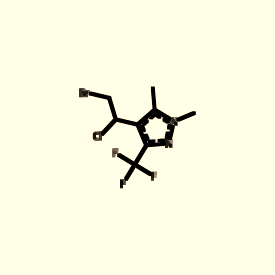 Cc1c(C(Cl)CBr)c(C(F)(F)F)nn1C